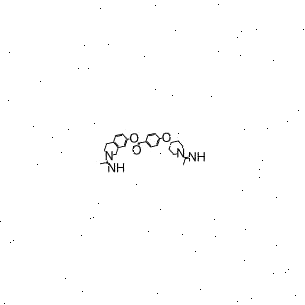 CC(=N)N1CCC(Oc2ccc(C(=O)Oc3ccc4c(c3)CN(C(C)=N)CC4)cc2)CC1